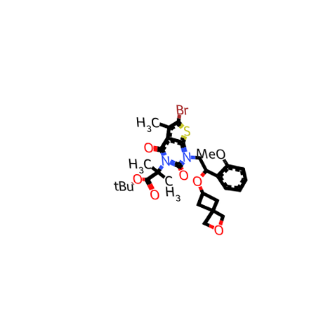 COc1ccccc1C(Cn1c(=O)n(C(C)(C)C(=O)OC(C)(C)C)c(=O)c2c(C)c(Br)sc21)OC1CC2(COC2)C1